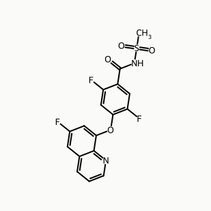 CS(=O)(=O)NC(=O)c1cc(F)c(Oc2cc(F)cc3cccnc23)cc1F